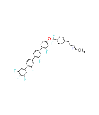 C/C=C/CCc1ccc(C(F)(F)Oc2ccc(-c3ccc(-c4ccc(-c5cc(F)c(F)c(F)c5)c(F)c4)c(F)c3)c(F)c2)cc1